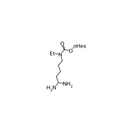 CCCCCCOC(=O)N(CC)CCCCC(N)N